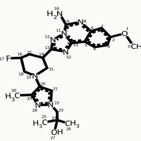 COc1ccc2c(c1)nc(N)n1nc(C3CC(F)CN(c4cn(CC(C)(C)O)nc4C)C3)nc21